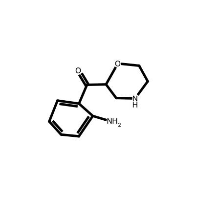 Nc1ccccc1C(=O)C1CNCCO1